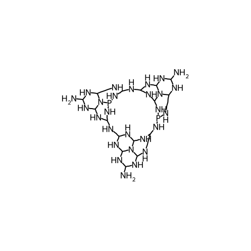 NC1NC2NC3NC4NC5NC(N)NC6NC(NC7NC8NC(N)NC9NP(NC%10NC(N1)N2C(N3)N%10)NC(N7)N89)NP(N4)N56